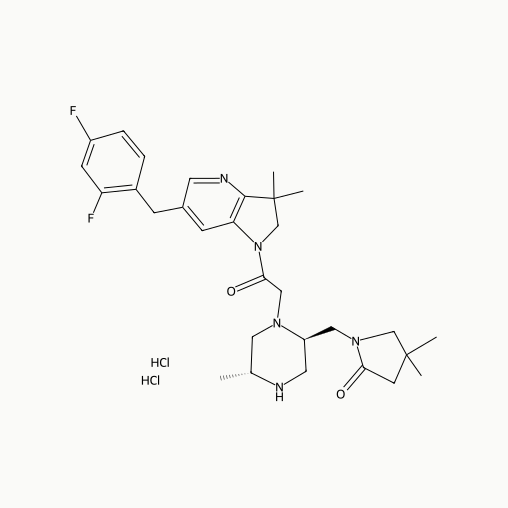 C[C@@H]1CN(CC(=O)N2CC(C)(C)c3ncc(Cc4ccc(F)cc4F)cc32)[C@@H](CN2CC(C)(C)CC2=O)CN1.Cl.Cl